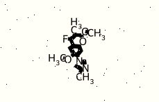 COC(=O)C(C)=C(F)c1ccc(-n2cnc(C)c2)c(OC)c1